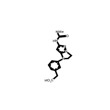 CNC(=O)Nc1cc2n(n1)CCN2c1cccc(CC(=O)O)c1